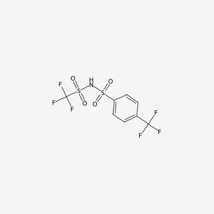 O=S(=O)(NS(=O)(=O)C(F)(F)F)c1ccc(C(F)(F)F)cc1